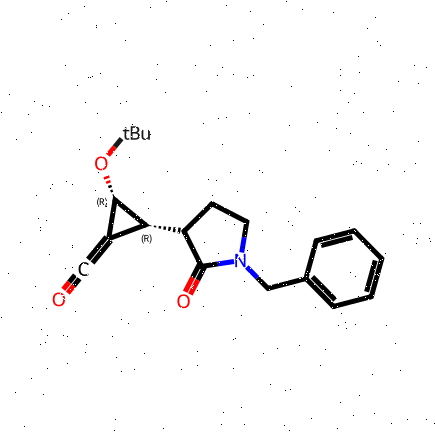 CC(C)(C)O[C@H]1C(=C=O)[C@H]1C1CCN(Cc2ccccc2)C1=O